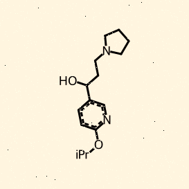 CC(C)Oc1ccc(C(O)CCN2CCCC2)cn1